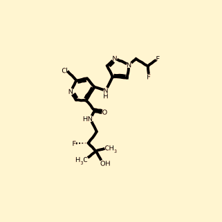 CC(C)(O)[C@H](F)CNC(=O)c1cnc(Cl)cc1Nc1cnn(CC(F)F)c1